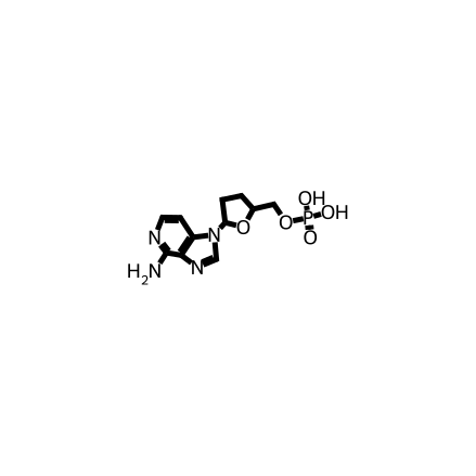 Nc1nccc2c1ncn2C1CCC(COP(=O)(O)O)O1